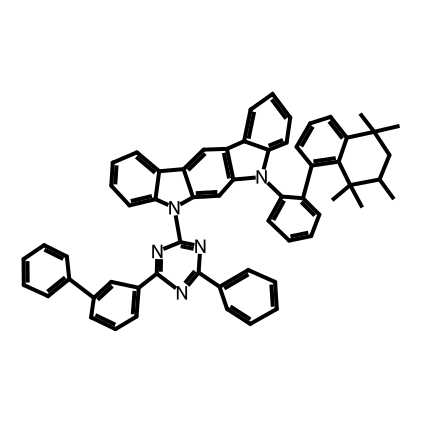 CC1CC(C)(C)c2cccc(-c3ccccc3-n3c4ccccc4c4cc5c6ccccc6n(-c6nc(-c7ccccc7)nc(-c7cccc(-c8ccccc8)c7)n6)c5cc43)c2C1(C)C